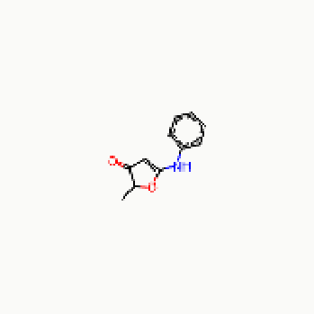 CC1OC(Nc2ccccc2)=CC1=O